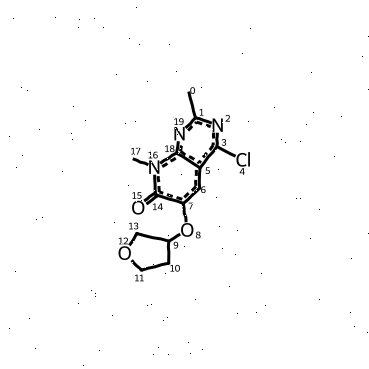 Cc1nc(Cl)c2cc(OC3CCOC3)c(=O)n(C)c2n1